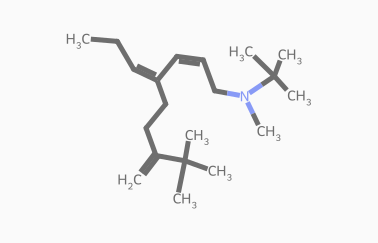 C=C(CCC(/C=C\CN(C)C(C)(C)C)=C/CC)C(C)(C)C